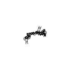 CN(C)C(=O)c1cc2cnc(Nc3ccc([C@@H]4CCC5(CCN(c6cccc7c6n(C)c(=O)n7[C@H]6CCC(=O)NC6=O)CC5)CO4)cn3)nc2n1C1CCCC1